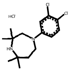 CC1(C)CCN(c2ccc(Cl)c(Cl)c2)CC(C)(C)N1.Cl